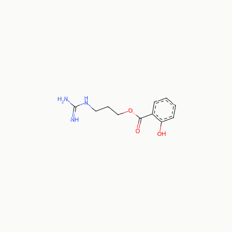 N=C(N)NCCCOC(=O)c1ccccc1O